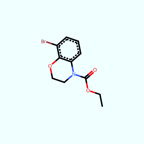 CCOC(=O)N1CCOc2c(Br)cccc21